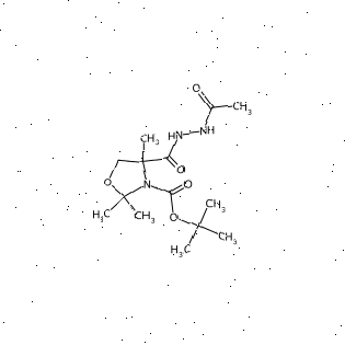 CC(=O)NNC(=O)C1(C)COC(C)(C)N1C(=O)OC(C)(C)C